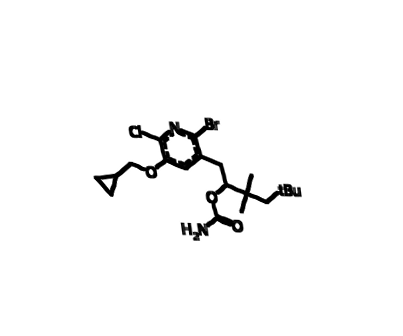 CC(C)(C)CC(C)(C)C(Cc1cc(OCC2CC2)c(Cl)nc1Br)OC(N)=O